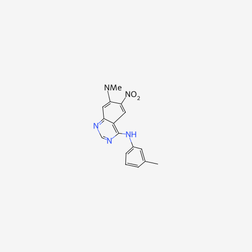 CNc1cc2ncnc(Nc3cccc(C)c3)c2cc1[N+](=O)[O-]